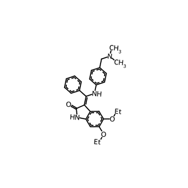 CCOc1cc2c(cc1OCC)C(=C(Nc1ccc(CN(C)C)cc1)c1ccccc1)C(=O)N2